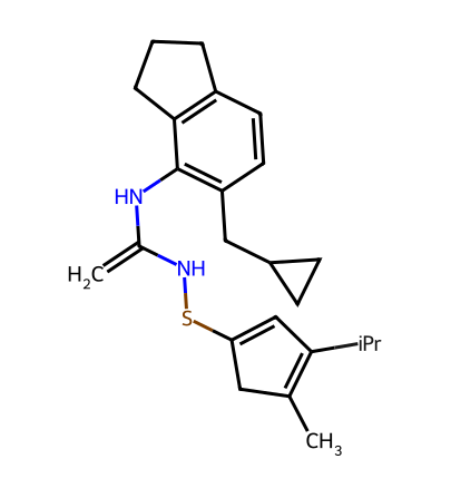 C=C(NSC1=CC(C(C)C)=C(C)C1)Nc1c(CC2CC2)ccc2c1CCC2